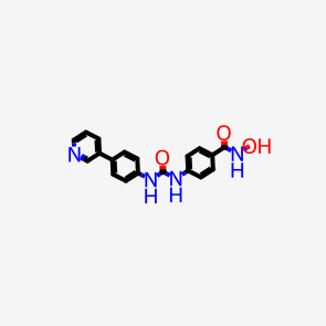 O=C(Nc1ccc(C(=O)NO)cc1)Nc1ccc(-c2cccnc2)cc1